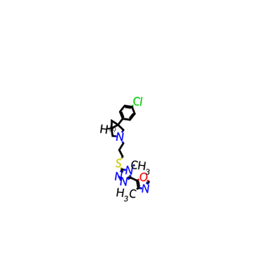 Cc1ncoc1-c1nnc(SCCCN2C[C@@H]3CC3(c3ccc(Cl)cc3)C2)n1C